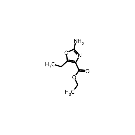 CCOC(=O)c1nc(N)oc1CC